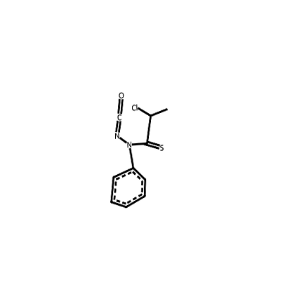 CC(Cl)C(=S)N(N=C=O)c1ccccc1